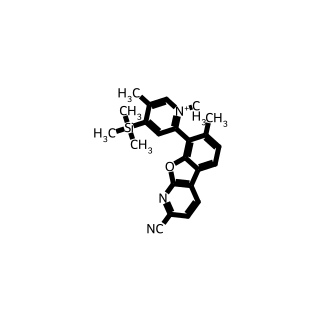 Cc1c[n+](C)c(-c2c(C)ccc3c2oc2nc(C#N)ccc23)cc1[Si](C)(C)C